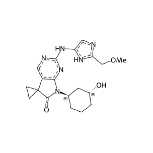 COCc1ncc(Nc2ncc3c(n2)N([C@@H]2CCC[C@@H](O)C2)C(=O)C32CC2)[nH]1